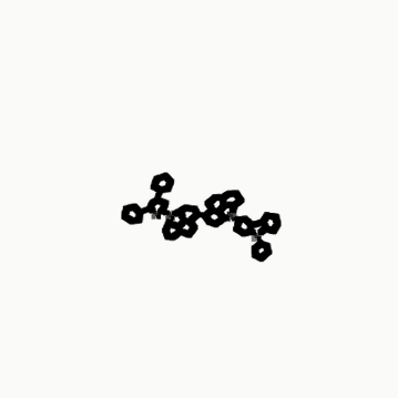 c1ccc(-c2cc(-c3ccccc3)nc(-n3c4cccc5ccc6c(-c7ccc8c9c7ccc7cccc(c79)n8-c7ccc8c(c7)c7ccccc7n8-c7ccccc7)ccc3c6c54)c2)cc1